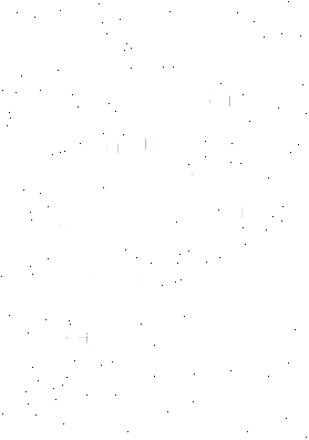 C=CC(=O)OC(C)CC(C)(C)CC